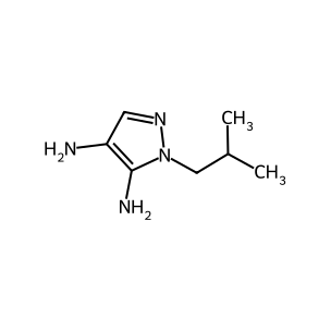 CC(C)Cn1ncc(N)c1N